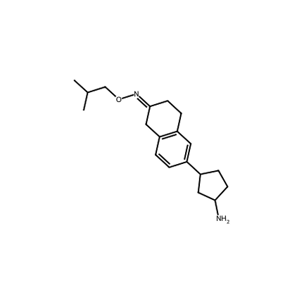 CC(C)CO/N=C1/CCc2cc(C3CCC(N)C3)ccc2C1